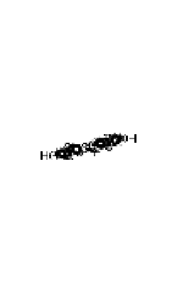 C=CC(COc1ccc(S(=O)(=O)c2ccc(O)cc2)cc1)Oc1ccc(S(=O)(=O)c2ccc(O)cc2)cc1